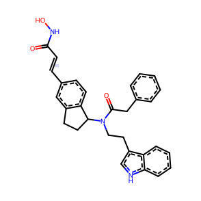 O=C(/C=C/c1ccc2c(c1)CCC2N(CCc1c[nH]c2ccccc12)C(=O)Cc1ccccc1)NO